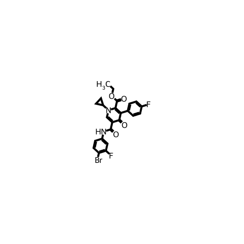 CCOC(=O)c1c(-c2ccc(F)cc2)c(=O)c(C(=O)Nc2ccc(Br)c(F)c2)cn1C1CC1